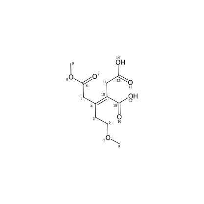 COCCC(CC(=O)OC)=C(CC(=O)O)C(=O)O